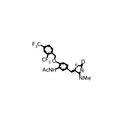 CNC1=NC(=O)S/C1=C\c1ccc(OCc2ccc(C(F)(F)F)cc2C(F)(F)F)c(NC(C)=O)c1